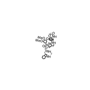 COc1cc(N(C(=O)OCC(N)Cc2c[nH]c3ccccc23)c2ncc(F)c(Nc3ccc4c(n3)NC(=O)C(C)(C)O4)n2)cc(OC)c1OC